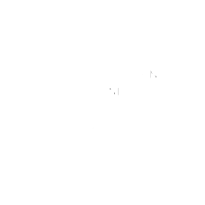 CCOc1ccccc1NC(C)C#N